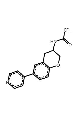 O=C(NC1COc2ccc(-c3ccncc3)cc2C1)C(F)(F)F